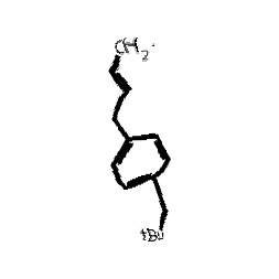 [CH2]C=CCc1ccc(CC(C)(C)C)cc1